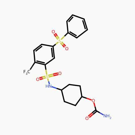 NC(=O)OC1CCC(NS(=O)(=O)c2cc(S(=O)(=O)c3ccccc3)ccc2C(F)(F)F)CC1